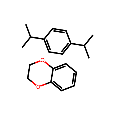 CC(C)c1ccc(C(C)C)cc1.c1ccc2c(c1)OCCO2